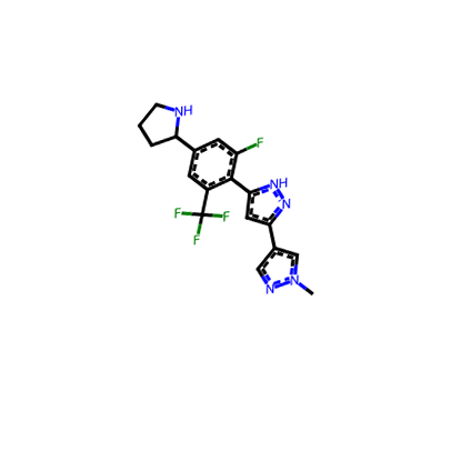 Cn1cc(-c2cc(-c3c(F)cc(C4CCCN4)cc3C(F)(F)F)[nH]n2)cn1